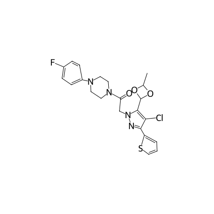 CC1OC(c2c(Cl)c(-c3cccs3)nn2CC(=O)N2CCN(c3ccc(F)cc3)CC2)O1